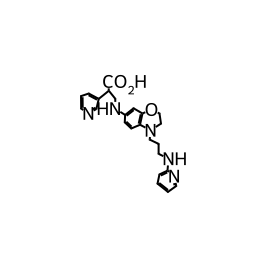 O=C(O)C(CNc1ccc2c(c1)OCCN2CCCNc1ccccn1)c1cccnc1